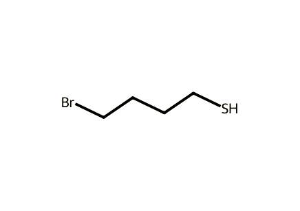 SCCCCBr